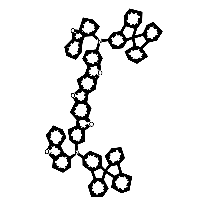 c1ccc2c(c1)-c1ccccc1C21c2ccccc2-c2cc(N(c3ccc4c(c3)oc3cc5c(cc34)oc3cc4c(cc35)oc3cc(N(c5ccc6c(c5)-c5ccccc5C65c6ccccc6-c6ccccc65)c5cccc6oc7ccccc7c56)ccc34)c3cccc4oc5ccccc5c34)ccc21